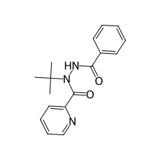 CC(C)(C)N(NC(=O)c1ccccc1)C(=O)c1ccccn1